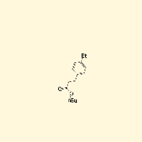 CCCCOC(=O)CCc1ccc(CC)cc1